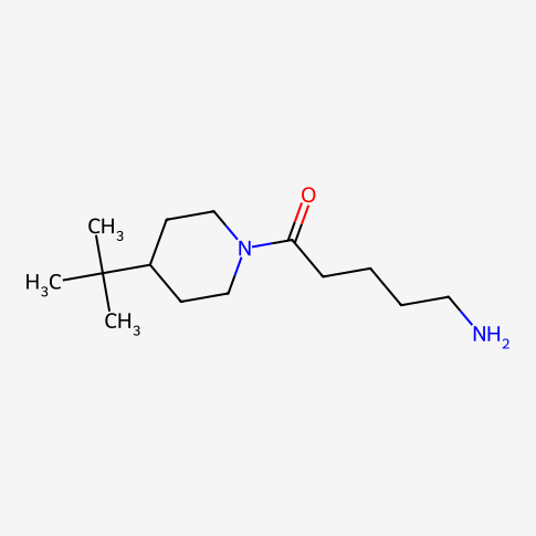 CC(C)(C)C1CCN(C(=O)CCCCN)CC1